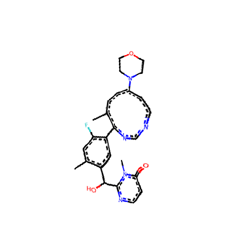 Cc1cc(F)c(-c2ncnccc(N3CCOCC3)ccc2C)cc1C(O)c1nccc(=O)n1C